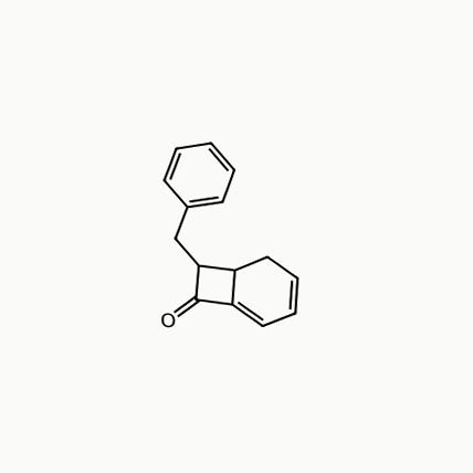 O=C1C2=CC=CCC2C1Cc1ccccc1